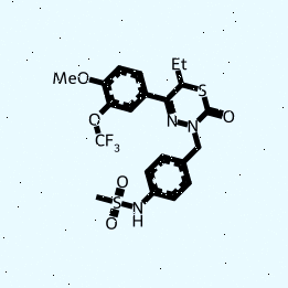 CCC1SC(=O)N(Cc2ccc(NS(C)(=O)=O)cc2)N=C1c1ccc(OC)c(OC(F)(F)F)c1